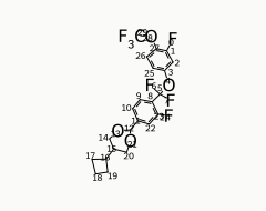 Fc1cc(OC(F)(F)c2ccc(C3OCC(C4CCC4)CO3)cc2F)ccc1OC(F)(F)F